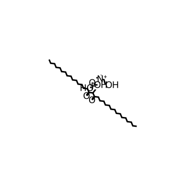 CCCCCCCCCCCCCCCC(=O)C(CP(=O)(O)O)C(=O)CCCCCCCCCCCCCCC.C[N+](C)(C)CCO